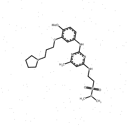 COc1ccc(Nc2nc(C)cc(NCCS(=O)(=O)N(C)C)n2)cc1OCCCN1CCCC1